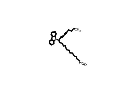 CCCCC#CC#CC(CCCCCCCCCCCCN=C=O)n1c2ccccc2c2ccccc21